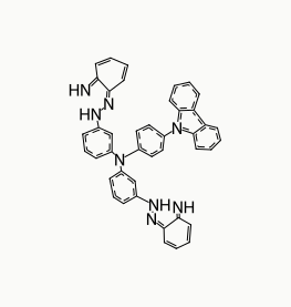 N=C1C=CC=C/C1=N/Nc1cccc(N(c2ccc(-n3c4ccccc4c4ccccc43)cc2)c2cccc(N/N=C3/C=CC=CC3=N)c2)c1